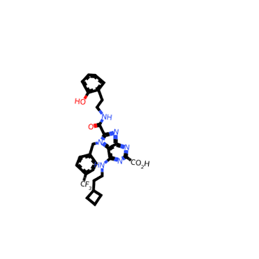 O=C(O)c1nc(NCCC2CCC2)c2c(n1)nc(C(=O)NCCc1ccccc1O)n2Cc1ccc(C(F)(F)F)cc1